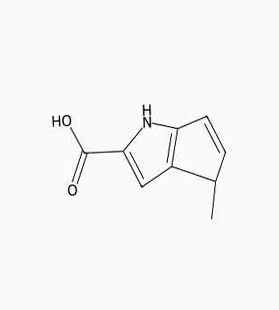 CC1C=Cc2[nH]c(C(=O)O)cc21